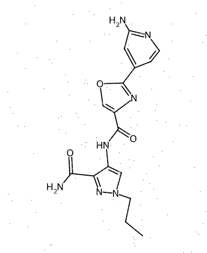 CCCn1cc(NC(=O)c2coc(-c3ccnc(N)c3)n2)c(C(N)=O)n1